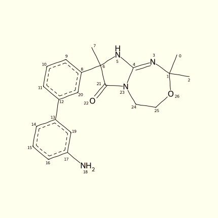 CC1(C)N=C2NC(C)(c3cccc(-c4cccc(N)c4)c3)C(=O)N2CCO1